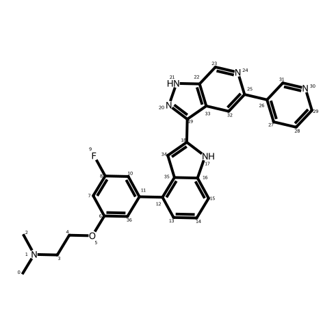 CN(C)CCOc1cc(F)cc(-c2cccc3[nH]c(-c4n[nH]c5cnc(-c6cccnc6)cc45)cc23)c1